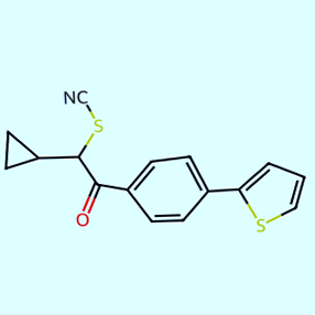 N#CSC(C(=O)c1ccc(-c2cccs2)cc1)C1CC1